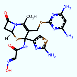 Nc1cc(N)nc(SCC2=C(C(=O)O)N3C(=O)C[C@@H]3SC2(NC(=O)C=NO)c2csc(N)n2)n1